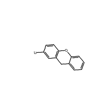 [Li][c]1ccc2c(c1)Cc1ccccc1O2